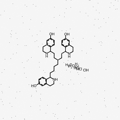 Cl.Cl.Cl.O.O.O.Oc1ccc2c(c1)CCNC2CCCCC(CCC1NCCc2cc(O)ccc21)CCC1NCCc2cc(O)ccc21